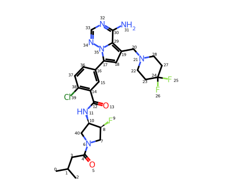 CC(C)CC(=O)N1C[C@H](F)[C@H](NC(=O)c2cc(-c3cc(CN4CCC(F)(F)CC4)c4c(N)ncnn34)ccc2Cl)C1